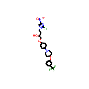 O=[N+]([O-])c1cn(CCC(O)COc2ccc(N3CCC(Oc4cccc(C(F)(F)F)c4)CC3)cc2)c(Cl)n1